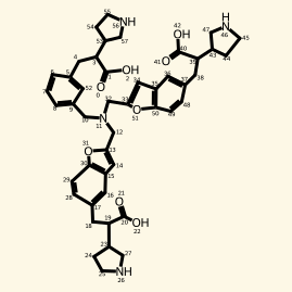 O=C(O)C(Cc1cccc(CN(Cc2cc3cc(CC(C(=O)O)C4CCNC4)ccc3o2)Cc2cc3cc(CC(C(=O)O)C4CCNC4)ccc3o2)c1)C1CCNC1